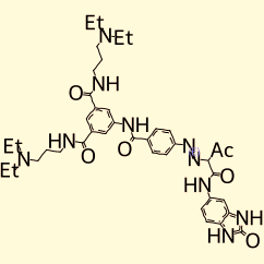 CCN(CC)CCCNC(=O)c1cc(NC(=O)c2ccc(/N=N/C(C(C)=O)C(=O)Nc3ccc4[nH]c(=O)[nH]c4c3)cc2)cc(C(=O)NCCCN(CC)CC)c1